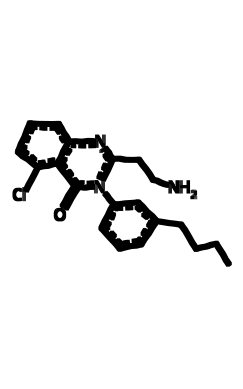 CCCCc1cccc(-n2c(CCN)nc3cccc(Cl)c3c2=O)c1